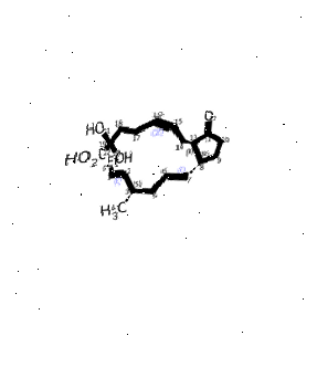 CC/C=C/[C@@H](C)C/C=C/[C@H]1CCC(=O)[C@@H]1C/C=C\CCC(O)(O)C(=O)O